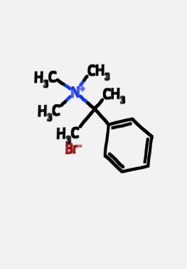 CC(C)(c1ccccc1)[N+](C)(C)C.[Br-]